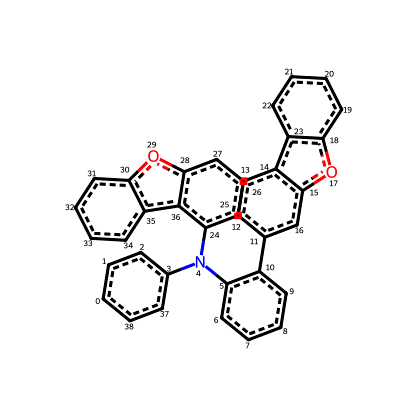 c1ccc(N(c2ccccc2-c2ccc3c(c2)oc2ccccc23)c2cccc3oc4ccccc4c23)cc1